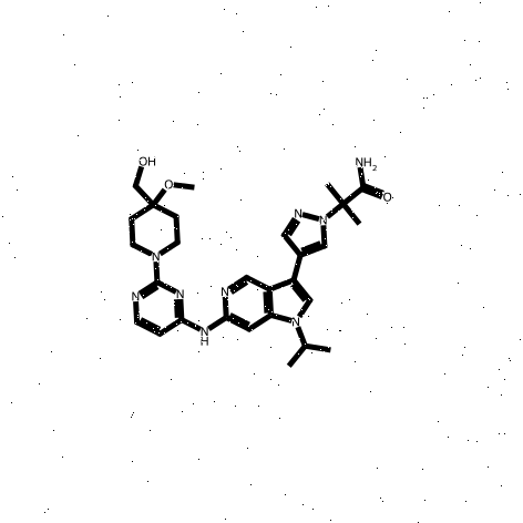 COC1(CO)CCN(c2nccc(Nc3cc4c(cn3)c(-c3cnn(C(C)(C)C(N)=O)c3)cn4C(C)C)n2)CC1